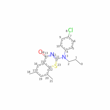 CCCN(c1ccc(Cl)cc1)c1nc(=O)c2cc(C)cc(C)c2s1